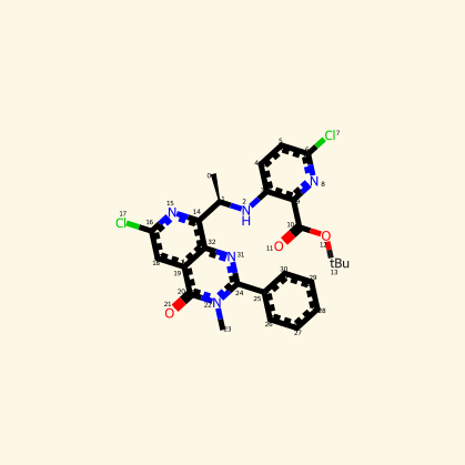 C[C@@H](Nc1ccc(Cl)nc1C(=O)OC(C)(C)C)c1nc(Cl)cc2c(=O)n(C)c(-c3ccccc3)nc12